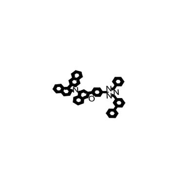 c1ccc(-c2cccc(-c3nc(-c4ccccc4)nc(-c4ccc5c(c4)oc4c6ccccc6c(-n6c7cc8ccccc8cc7c7c8ccccc8ccc76)cc54)n3)c2)cc1